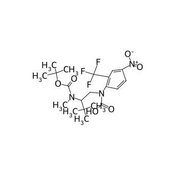 CN(C(=O)OC(C)(C)C)C(CN(C(=O)O)c1ccc([N+](=O)[O-])cc1C(F)(F)F)C(C)(C)C